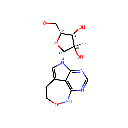 C[C@@]1(O)[C@H](O)[C@@H](CO)O[C@H]1n1cc2c3c(ncnc31)NOCC2